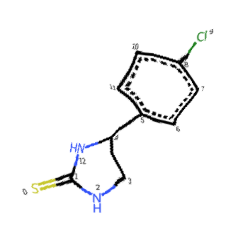 S=C1NCC(c2ccc(Cl)cc2)N1